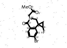 COC(=O)CN1CC2(CC2F)c2cc(Br)ccc2C1=O